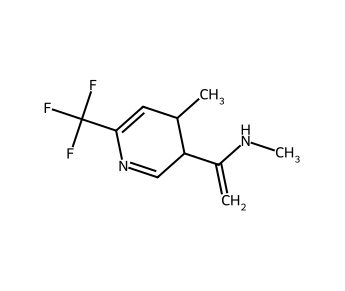 C=C(NC)C1C=NC(C(F)(F)F)=CC1C